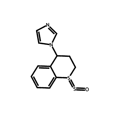 O=S=S1CCC(n2ccnc2)c2ccccc21